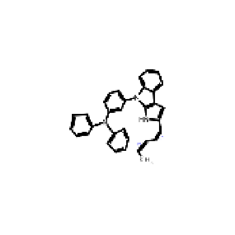 C/C=C\C=C/c1cc2c3ccccc3n(-c3cccc(N(c4ccccc4)c4ccccc4)c3)c2[nH]1